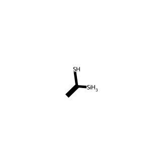 C=C([SiH3])S